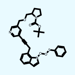 CC(C)(C)OC(=O)N1CCCC1COCc1cncc(C#CCc2cccc3ccn(OOSc4ccccc4)c23)c1